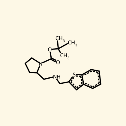 CC(C)(C)OC(=O)N1CCCC1CNCc1cc2ccccc2s1